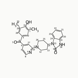 Cc1cc(C(=O)c2ccnc(N3CCC(n4c(=O)[nH]c5ccccc54)CC3)c2)cc(C)c1O